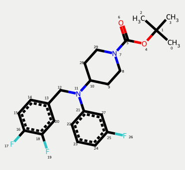 CC(C)(C)OC(=O)N1CCC(N(Cc2ccc(F)c(F)c2)c2cccc(F)c2)CC1